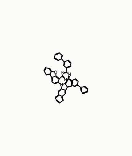 c1ccc(-c2ccc(-c3nc(-c4cccc(-c5ccccc5)c4)nc(-c4c(-n5c6ccccc6c6cc7ccccc7cc65)ccc5c4oc4ccccc45)n3)cc2)cc1